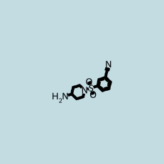 N#Cc1cccc(S(=O)(=O)N2CCC(N)CC2)c1